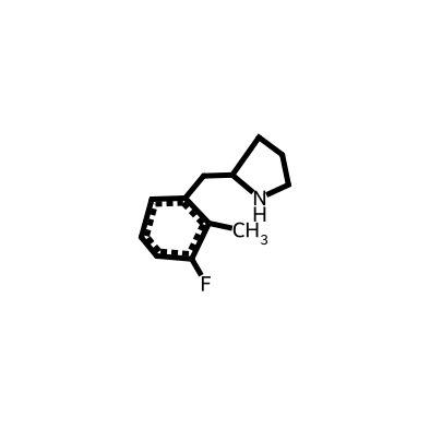 Cc1c(F)cccc1CC1CCCN1